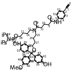 C#Cc1ccc(NC(=O)CCCC(=O)N(CCCCOP(O)N(C(C)C)C(C)C)CCCCOC(c2ccccc2)(c2ccc(O)cc2)c2ccc(OC)cc2)cc1